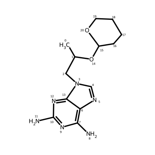 CC(Cn1cnc2c(N)nc(N)nc21)OC1CCCCO1